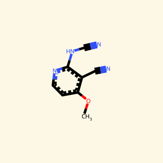 COc1ccnc(NC#N)c1C#N